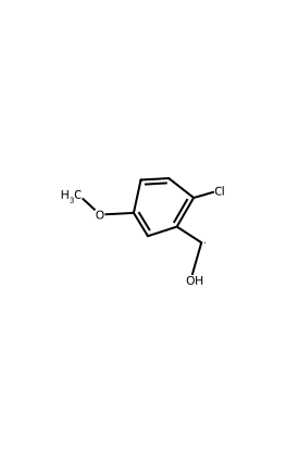 COc1ccc(Cl)c([CH]O)c1